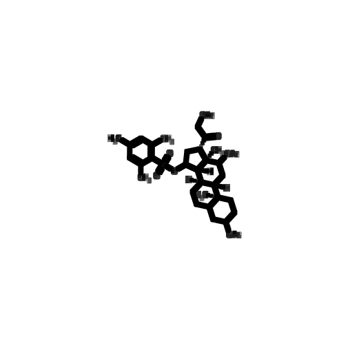 CC(=O)OCC(=O)[C@H]1CC(OS(=O)(=O)c2c(C)cc(C)cc2C)[C@H]2[C@@H]3CCC4CC(OC(C)=O)CC[C@]4(C)[C@H]3CC(OC(C)=O)[C@]12C